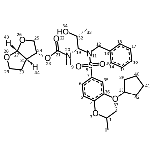 CC(C)Oc1ccc(S(=O)(=O)N(Cc2ccccc2)[C@H](NC(=O)O[C@H]2CO[C@H]3OCC[C@H]32)[C@@H](C)O)cc1OC1CCCC1